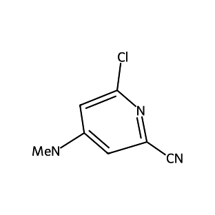 CNc1cc(Cl)nc(C#N)c1